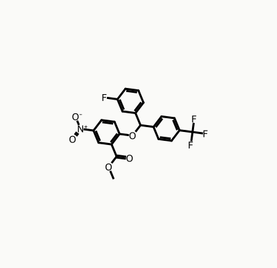 COC(=O)c1cc([N+](=O)[O-])ccc1OC(c1ccc(C(F)(F)F)cc1)c1cccc(F)c1